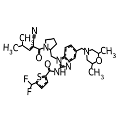 CC(C)C=C(C#N)C(=O)N1CCCC1Cn1c(NC(=O)c2ccc(C(F)F)s2)nc2cc(CN3CC(C)OC(C)C3)ccc21